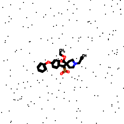 C#CCN1CCC(C(=O)OCC)(C(c2ccc(Oc3ccccc3)cc2)=S(=O)=O)CC1